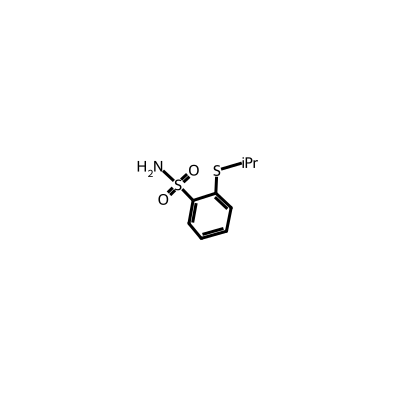 CC(C)Sc1ccccc1S(N)(=O)=O